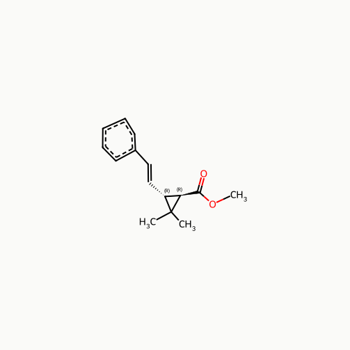 COC(=O)[C@@H]1[C@@H](C=Cc2ccccc2)C1(C)C